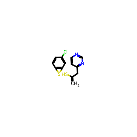 C=C(S)Cc1ccncn1.Clc1ccc2c(c1)S2